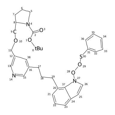 CC(C)(C)OC(=O)N1CCCC1COCc1cncc(CCCc2cccc3ccn(OOSc4ccccc4)c23)c1